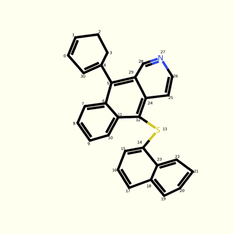 C1=CCCC(c2c3ccccc3c(Sc3cccc4ccccc34)c3ccncc23)=C1